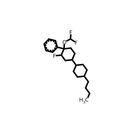 CCCCC1CCC(C2CCC(OC(F)F)(c3ccccc3)C(F)C2)CC1